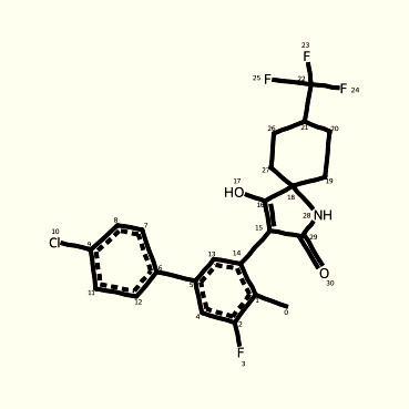 Cc1c(F)cc(-c2ccc(Cl)cc2)cc1C1=C(O)C2(CCC(C(F)(F)F)CC2)NC1=O